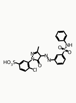 CC1=NN(c2cc(S(=O)(=O)O)ccc2Cl)C(=O)C1N=Nc1cccc(S(=O)(=O)Nc2ccccc2)c1